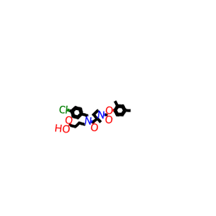 Cc1ccc(OC(=O)N2CCC2(C)C(=O)N(CCCC(=O)O)Cc2ccc(Cl)cc2)c(C)c1